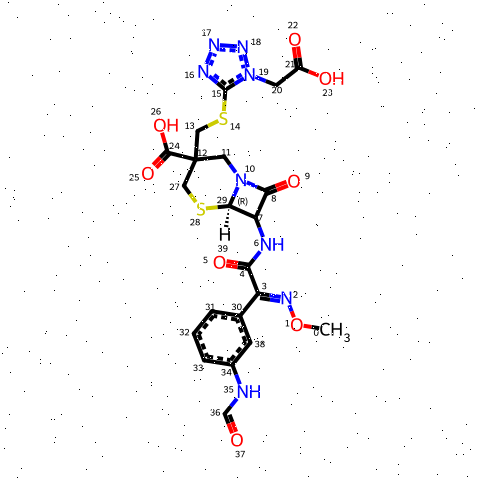 CON=C(C(=O)NC1C(=O)N2CC(CSc3nnnn3CC(=O)O)(C(=O)O)CS[C@H]12)c1cccc(NC=O)c1